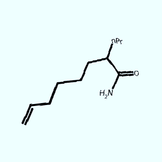 C=CCCCCC(CCC)C(N)=O